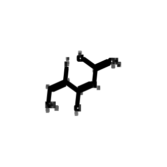 C=C(Cl)/N=C(Cl)\C(F)=C/N